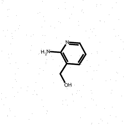 Nc1ncc[c]c1CO